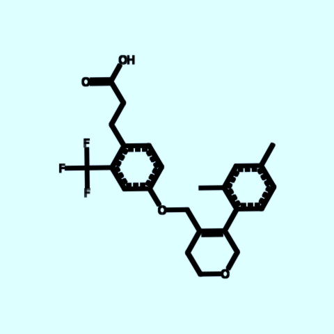 Cc1ccc(C2=C(COc3ccc(CCC(=O)O)c(C(F)(F)F)c3)CCOC2)c(C)c1